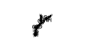 C=CCOC(=O)NCCN(CCC(=O)CN1C[C@@H]([C@@H](C)O[Si](C)(C)C(C)(C)C)C1=O)C(=O)OCC=C